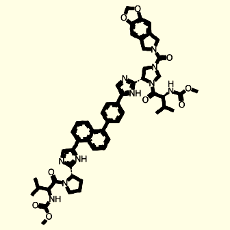 COC(=O)NC(C(=O)N1CCC[C@H]1c1ncc(-c2cccc3c(-c4ccc(-c5cnc([C@@H]6CN(C(=O)N7Cc8cc9c(cc8C7)OCO9)CN6C(=O)[C@@H](NC(=O)OC)C(C)C)[nH]5)cc4)cccc23)[nH]1)C(C)C